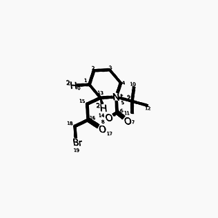 [2H]C1CCC[N+](C(=O)[O-])(C(C)(C)C)[C@]1([2H])CC(=O)CBr